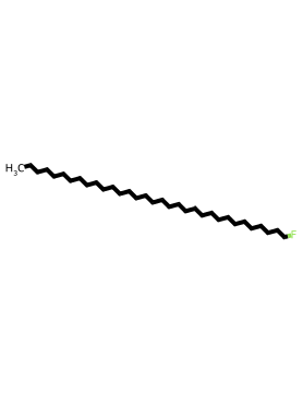 CCCCCCCCCCCCCCCCCCCCC[CH]CCCCCCCCCCCF